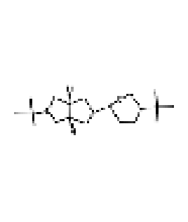 CC(C)(C)C1CCN(C2C[C@@H]3CN(C(C)(C)C)C[C@@H]3C2)CC1